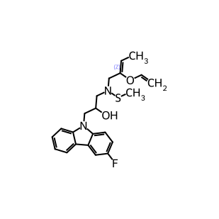 C=CO/C(=C\C)CN(CC(O)Cn1c2ccccc2c2cc(F)ccc21)SC